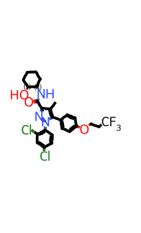 Cc1c(C(=O)N[C@@H]2CCCC[C@@H]2O)nn(-c2ccc(Cl)cc2Cl)c1-c1ccc(OCCC(F)(F)F)cc1